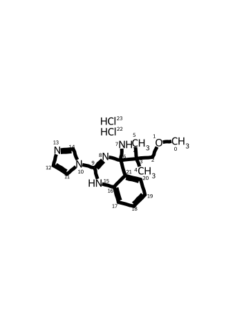 COCC(C)(C)C1(N)N=C(n2ccnc2)Nc2ccccc21.Cl.Cl